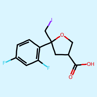 O=C(O)C1COC(CI)(c2ccc(F)cc2F)C1